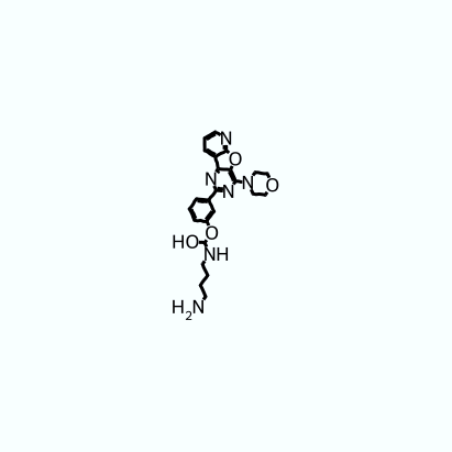 NCCCCNC(O)Oc1cccc(-c2nc(N3CCOCC3)c3oc4ncccc4c3n2)c1